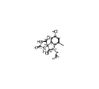 Cc1cc(Cl)cc2c1N(CC(C)C)C(=O)C21NC(=O)NC1=O